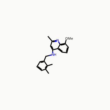 COc1cccc2c(NCc3cccc(C)c3C)cc(C)nc12